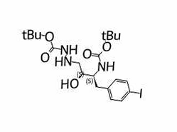 CC(C)(C)OC(=O)NNC[C@H](O)[C@H](Cc1ccc(I)cc1)NC(=O)OC(C)(C)C